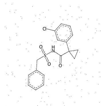 O=C(NS(=O)(=O)Cc1ccccc1)C1(c2cccc(Cl)c2)CC1